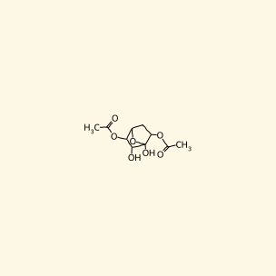 CC(=O)OC1C2CC(OC(C)=O)C(O)(O2)C1O